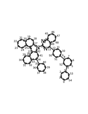 c1ccc(-c2cccc(-c3ccc(-c4nc(-n5c6ccc7ccccc7c6c6c7ccccc7c(-c7ccccc7)cc65)nc5ccccc45)cc3)c2)cc1